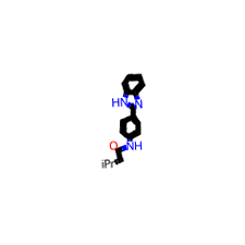 CC(C)CC(=O)Nc1ccc(-c2nc3ccccc3[nH]2)cc1